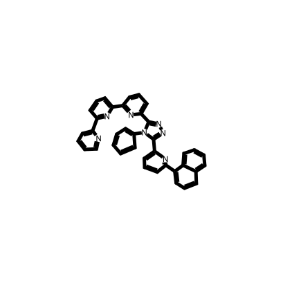 c1ccc(-n2c(-c3cccc(-c4cccc(-c5ccccn5)n4)n3)nnc2-c2cccc(-c3cccc4ccccc34)n2)cc1